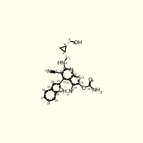 N#Cc1c(NC[C@@H]2C[C@@H]2CO)nc2sc(OC(N)=O)c(N)c2c1-c1cc2ccccc2o1